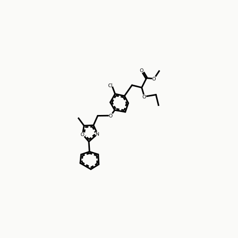 CCOC(Cc1ccc(OCc2nc(-c3ccccc3)oc2C)cc1Cl)C(=O)OC